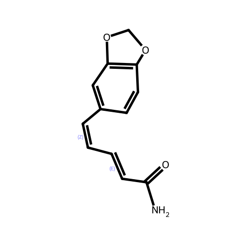 NC(=O)/C=C/C=C\c1ccc2c(c1)OCO2